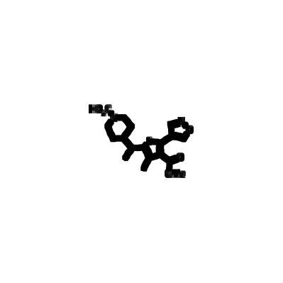 COC(=O)c1c(-c2cnoc2)sc(C(C)C2CCN(C(=O)O)CC2)c1C